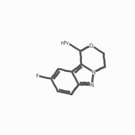 CCCC1OCCn2nc3ccc(F)cc3c21